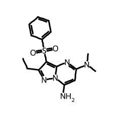 CCc1nn2c(N)cc(N(C)C)nc2c1S(=O)(=O)c1ccccc1